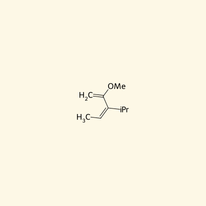 C=C(OC)/C(=C\C)C(C)C